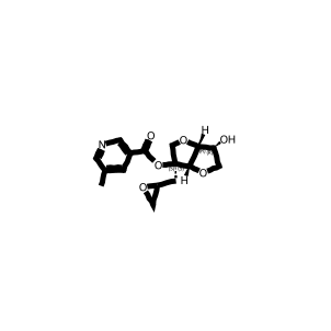 Cc1cncc(C(=O)O[C@@]2(CC3CO3)CO[C@@H]3[C@H](O)CO[C@@H]32)c1